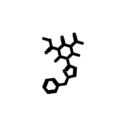 COC(=O)C1C(=O)C(C(C)=O)C(C)N(c2ccn(Cc3ccccc3)n2)C1C